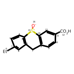 CCc1ccc2c(c1)Cc1ccc(C(=O)O)cc1[S+]2[O-]